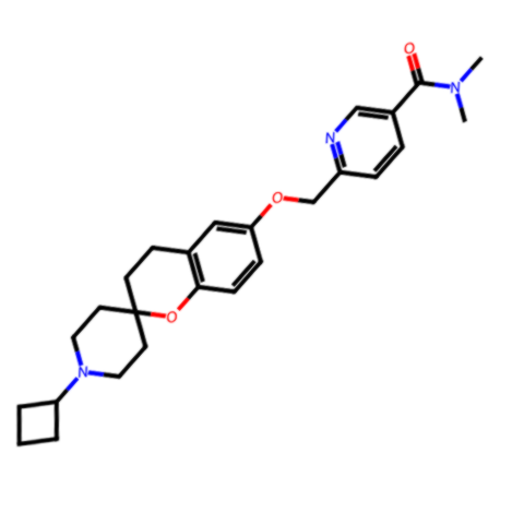 CN(C)C(=O)c1ccc(COc2ccc3c(c2)CCC2(CCN(C4CCC4)CC2)O3)nc1